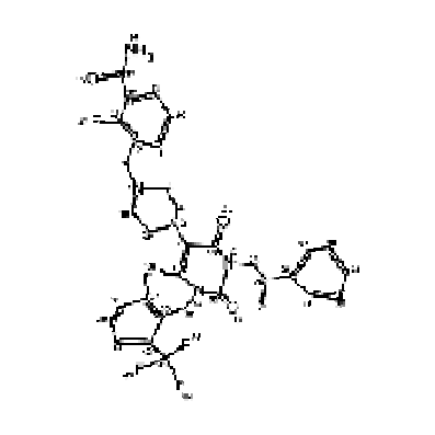 Cc1c(N2CCN(Cc3cccc(C(N)=O)c3F)CC2)c(=O)n(C[C@H](C)c2ccccc2)c(=O)n1Cc1c(F)cccc1C(F)(F)F